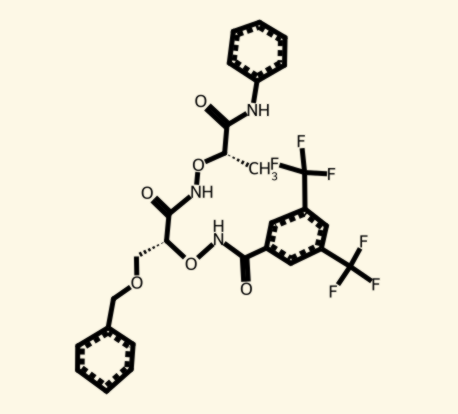 C[C@H](ONC(=O)[C@@H](COCc1ccccc1)ONC(=O)c1cc(C(F)(F)F)cc(C(F)(F)F)c1)C(=O)Nc1ccccc1